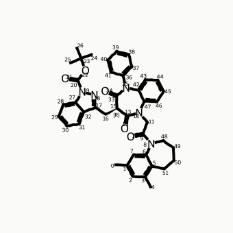 Cc1cc(C)c2c(c1)N(C(=O)CN1C(=O)[C@@H](Cc3nn(C(=O)OC(C)(C)C)c4ccccc34)C(=O)N(c3ccccc3)c3ccccc31)CCCC2